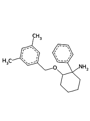 Cc1cc(C)cc(COC2CCCCC2(N)c2ccccc2)c1